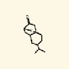 CC(C)C1CC2CC3CC(C1)N2CC3=O